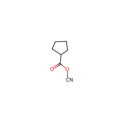 N#COC(=O)C1CCCC1